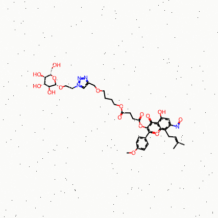 COc1ccc(-c2oc3c(CC=C(C)C)c(N=O)cc(O)c3c(=O)c2OC(=O)CCC(=O)OCCCCOCc2cn(CCO[C@H]3O[C@@H](CO)[C@H](O)[C@@H](O)[C@@H]3O)nn2)cc1